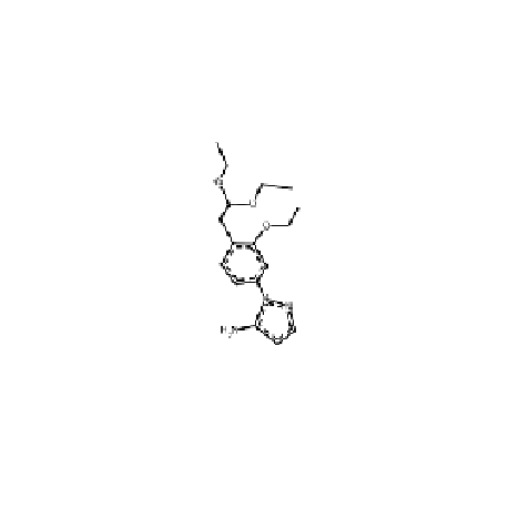 CCOc1cc(-n2nccc2N)ccc1CC(OCC)OCC